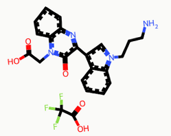 NCCCn1cc(-c2nc3ccccc3n(CC(=O)O)c2=O)c2ccccc21.O=C(O)C(F)(F)F